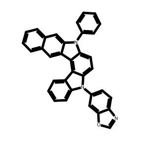 c1ccc(-n2c3cc4ccccc4cc3c3c4c5ccccc5n(-c5ccc6ncoc6c5)c4ccc32)cc1